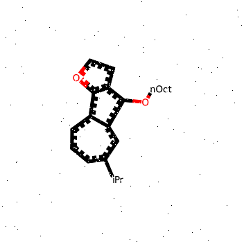 CCCCCCCCOc1c2cc(C(C)C)cccc-2c2occc12